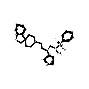 CN(C[C@H](CCN1CCC2(CC1)CSc1ccccc12)c1ccsc1)S(=O)(=O)c1ccccc1